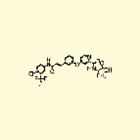 CC(NC(=O)c1cc(Oc2cccc(C=CC(=O)Nc3ccc(Cl)c(C(F)(F)F)c3)c2)ccn1)C(=O)O